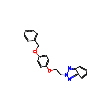 c1ccc(COc2ccc(OCCn3nc4ccccc4n3)cc2)cc1